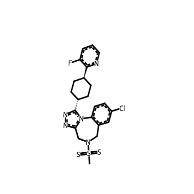 CS(=S)(=S)N1Cc2cc(Cl)ccc2-n2c(nnc2[C@H]2CC[C@H](c3ncccc3F)CC2)C1